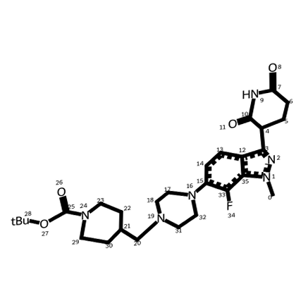 Cn1nc(C2CCC(=O)NC2=O)c2ccc(N3CCN(CC4CCN(C(=O)OC(C)(C)C)CC4)CC3)c(F)c21